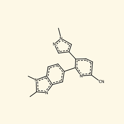 Cc1nc2cc(-c3nc(C#N)ccc3-c3cnn(C)c3)ccc2n1C